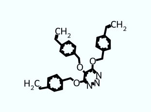 C=Cc1ccc(COc2nnnc(OCc3ccc(C=C)cc3)c2OCc2ccc(C=C)cc2)cc1